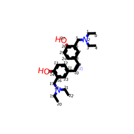 CCN(CC)Cc1cc(/C=C\c2ccc(O)c(CN(CC)CC)c2)ccc1O